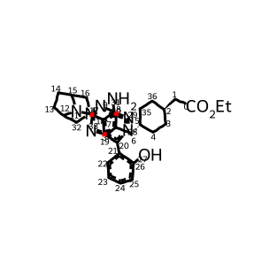 CCOC(=O)C[C@H]1CC[C@H](Cc2cnc(N3C4CCC3CN(c3cc(-c5ccccc5O)nnc3N)C4)nc2)CC1